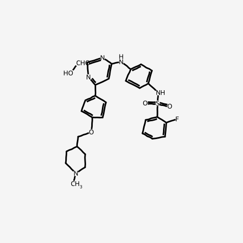 CN1CCC(COc2ccc(-c3cc(Nc4ccc(NS(=O)(=O)c5ccccc5F)cc4)ncn3)cc2)CC1.O=CO